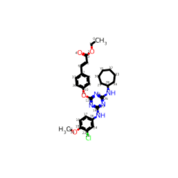 CCOC(=O)C=Cc1ccc(Oc2nc(Nc3ccc(OC)c(Cl)c3)nc(NC3CCCCCC3)n2)cc1